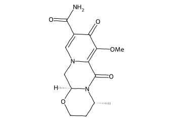 COc1c2n(cc(C(N)=O)c1=O)C[C@@H]1OCC[C@@H](C)N1C2=O